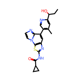 CCC(O)c1cc(C)c(-c2cc3nc(NC(=O)C4CC4)sc3n3ccnc23)cn1